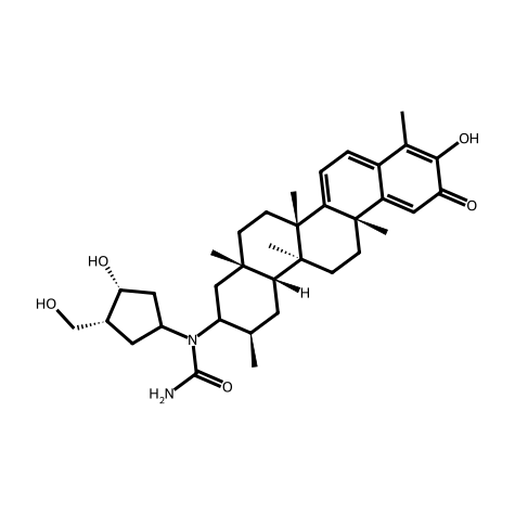 CC1=C(O)C(=O)C=C2C1=CC=C1[C@@]2(C)CC[C@@]2(C)[C@@H]3C[C@@H](C)C(N(C(N)=O)C4C[C@H](CO)[C@H](O)C4)C[C@]3(C)CC[C@]12C